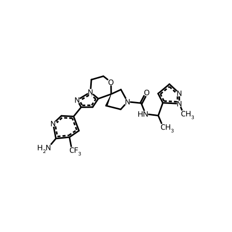 CC(NC(=O)N1CC[C@]2(C1)OCCn1nc(-c3cnc(N)c(C(F)(F)F)c3)cc12)c1ccnn1C